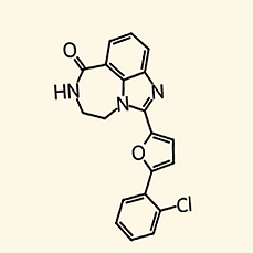 O=C1NCCn2c(-c3ccc(-c4ccccc4Cl)o3)nc3cccc1c32